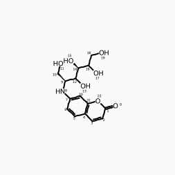 O=c1ccc2ccc(N[C@@H](CO)C(O)[C@@H](O)C(O)CO)cc2o1